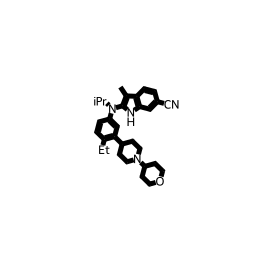 CCc1ccc(N(c2[nH]c3cc(C#N)ccc3c2C)C(C)C)cc1C1CCN(C2CCOCC2)CC1